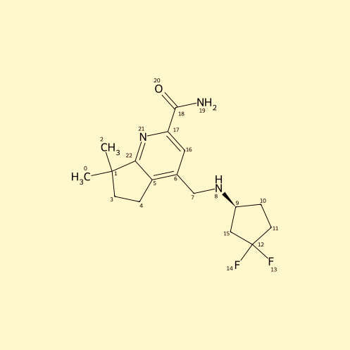 CC1(C)CCc2c(CN[C@H]3CCC(F)(F)C3)cc(C(N)=O)nc21